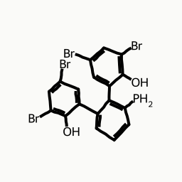 Oc1c(Br)cc(Br)cc1-c1cccc(P)c1-c1cc(Br)cc(Br)c1O